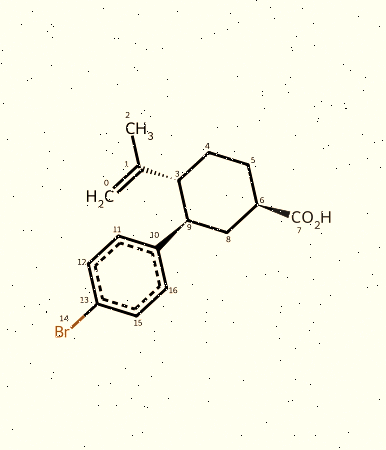 C=C(C)[C@@H]1CC[C@@H](C(=O)O)C[C@H]1c1ccc(Br)cc1